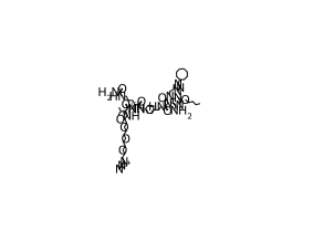 CCCCOc1nc(N)c2c(n1)n(Cc1cn(C3CCCCCCC3)nn1)c(=O)n2C(=O)NCc1ccc(NC(=O)[C@H](CCCNC(N)=O)NC(=O)[C@@H](NC(=O)COCCOCCOCCN=[N+]=[N-])C(C)C)cc1